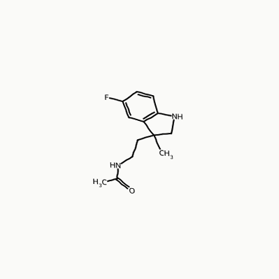 CC(=O)NCCC1(C)CNc2ccc(F)cc21